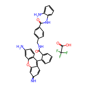 N=c1ccc2c(-c3ccccc3C(=O)NCc3ccc(C(=O)Nc4ccccc4N)cc3)c3ccc(N)cc3oc-2c1.O=C(O)C(F)(F)F